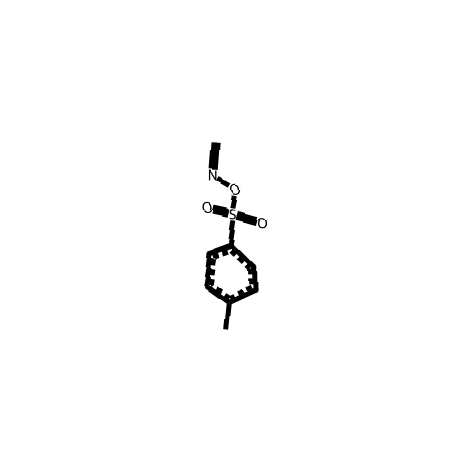 C=NOS(=O)(=O)c1ccc(C)cc1